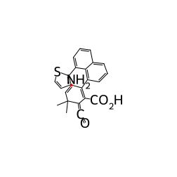 CC1(C)C=C(N)C(c2cccc3cccc(-c4cccs4)c23)=C(C(=O)O)C1=C=O